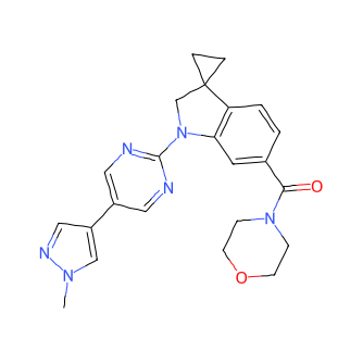 Cn1cc(-c2cnc(N3CC4(CC4)c4ccc(C(=O)N5CCOCC5)cc43)nc2)cn1